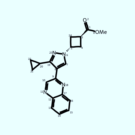 COC(=O)[C@H]1C[C@H](n2cc(-c3cnc4ccccc4n3)c(C3CC3)n2)C1